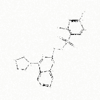 O=S(=O)(NCc1nc(N2CCCC2)c2ccccc2n1)c1ccc(F)cc1F